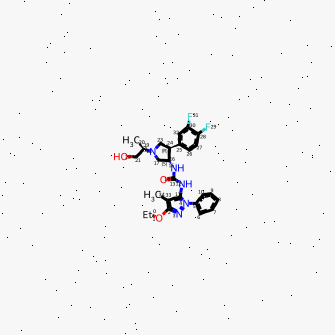 CCOc1nn(-c2ccccc2)c(NC(=O)N[C@@H]2CN([C@H](C)CO)C[C@H]2c2ccc(F)c(F)c2)c1C